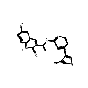 Cc1cscc1-c1ccnc(NC(C)c2cc3cc(Cl)ccc3[nH]c2=O)c1